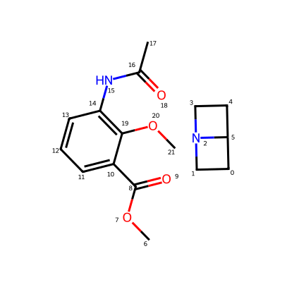 C1CN2CCC12.COC(=O)c1cccc(NC(C)=O)c1OC